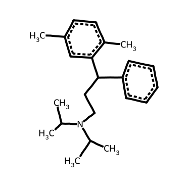 Cc1ccc(C)c(C(CCN(C(C)C)C(C)C)c2ccccc2)c1